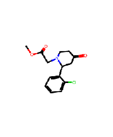 COC(=O)CN1CCC(=O)CC1c1ccccc1Cl